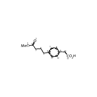 COC(=O)CCCc1ccc(CC(=O)O)cc1